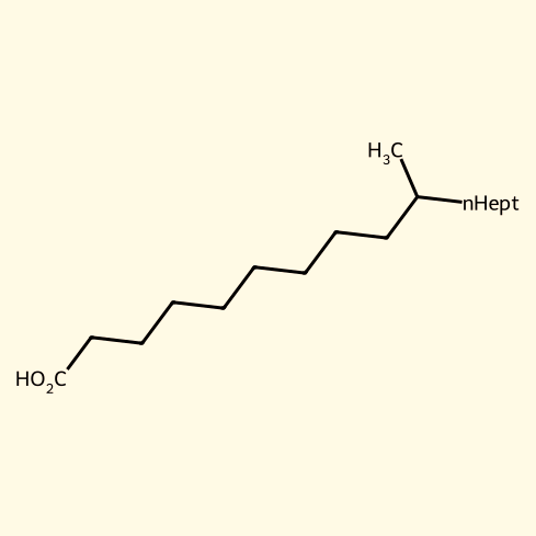 CCCCCCCC(C)CCCCCCCCC(=O)O